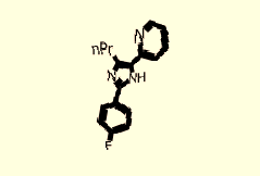 CCCc1nc(-c2ccc(F)cc2)[nH]c1-c1ccccn1